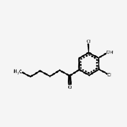 CCCCCC(=O)c1cc(Cl)c(O)c(Cl)c1